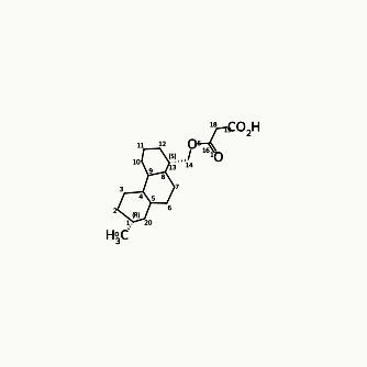 C[C@@H]1CCC2C(CCC3C2CCC[C@@H]3COC(=O)CC(=O)O)C1